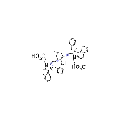 CC1(C)CC(/C=C/C2=[N+](CCC(=O)O)c3ccc4ccccc4c3C2(C)Cc2ccccc2)=C(Cl)C(=C/C=C2/N(CCC(=O)O)c3ccc4ccccc4c3C2(C)Cc2ccccc2)/C1